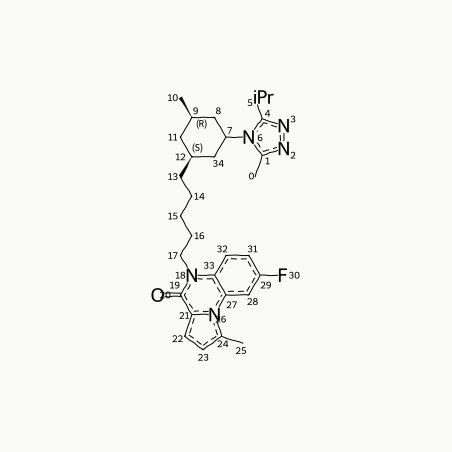 Cc1nnc(C(C)C)n1C1C[C@H](C)C[C@H](CCCCCn2c(=O)c3ccc(C)n3c3cc(F)ccc32)C1